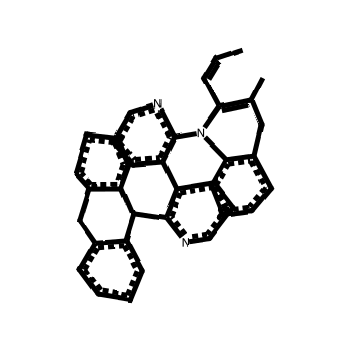 C/C=C\C1=C(C)Cc2ccccc2N1c1ncccc1-c1cccnc1C1c2ccccc2Cc2ccccc21